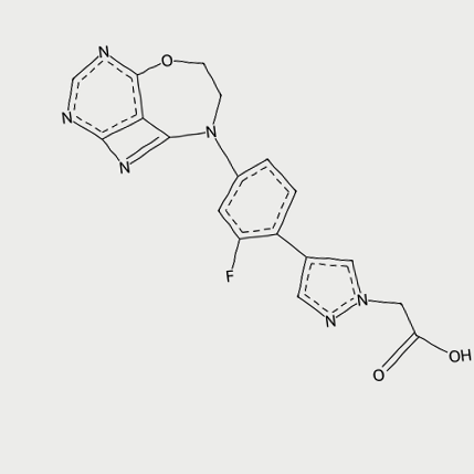 O=C(O)Cn1cc(-c2ccc(N3CCOc4ncnc5c4C3=N5)cc2F)cn1